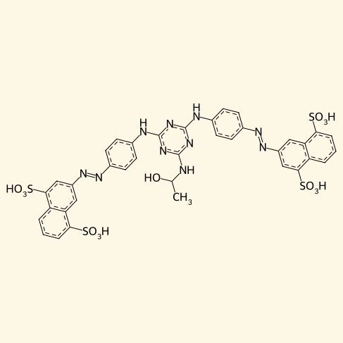 CC(O)Nc1nc(Nc2ccc(N=Nc3cc(S(=O)(=O)O)c4cccc(S(=O)(=O)O)c4c3)cc2)nc(Nc2ccc(N=Nc3cc(S(=O)(=O)O)c4cccc(S(=O)(=O)O)c4c3)cc2)n1